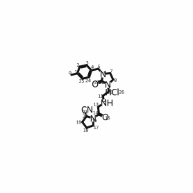 Cc1ccc(CN2CCN(CCNCC(=O)N3CCC[C@H]3C#N)C2=O)cc1.Cl